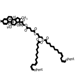 CCCCC/C=C\C/C=C\CCCCCCCC(=O)OCC(COC(=O)CCC(=O)OCC(=O)[C@@]1(O)[C@H](C)C[C@H]2[C@@H]3CCC4=CC(=O)C=C[C@]4(C)[C@@]3(F)[C@@H](O)C[C@@]21C)OC(=O)CCCCCCC/C=C\C/C=C\CCCCC